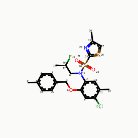 Cc1ccc(COc2cc(Cl)c(C)cc2N(C[C@@H](C)F)S(=O)(=O)c2nc(C)cs2)cc1